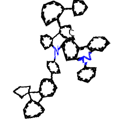 c1ccc(-c2ccccc2-c2ccccc2-c2ccccc2N(c2ccc(-c3ccc4c(c3)C3(CCCC3)c3ccccc3-4)cc2)c2ccc3c4ccccc4n(-c4ccccc4)c3c2)cc1